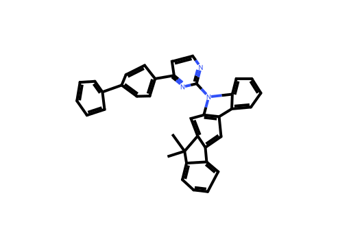 CC1(C)c2ccccc2-c2cc3c4ccccc4n(-c4nccc(-c5ccc(-c6ccccc6)cc5)n4)c3cc21